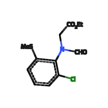 CCOC(=O)CN(C=O)c1c(Cl)cccc1SC